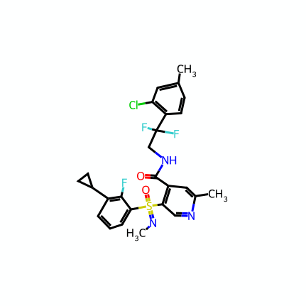 CN=S(=O)(c1cnc(C)cc1C(=O)NCC(F)(F)c1ccc(C)cc1Cl)c1cccc(C2CC2)c1F